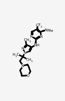 CNc1nc(Nc2cn(C(C)(C)CN3CCOCC3)nc2C)ncc1C(F)(F)F